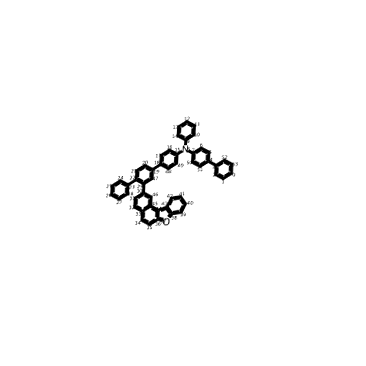 c1ccc(-c2ccc(N(c3ccccc3)c3ccc(-c4ccc(-c5ccccc5)c(-c5ccc6ccc7oc8ccccc8c7c6c5)c4)cc3)cc2)cc1